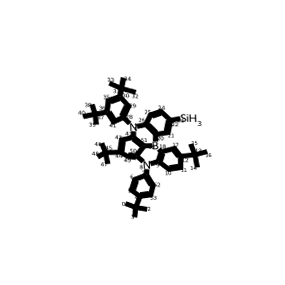 CC(C)(C)c1ccc(N2c3ccc(C(C)(C)C)cc3B3c4cc([SiH3])ccc4N(c4cc(C(C)(C)C)cc(C(C)(C)C)c4)c4cc(C(C)(C)C)cc2c43)cc1